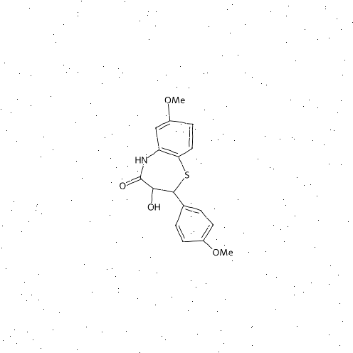 COc1ccc(C2Sc3ccc(OC)cc3NC(=O)C2O)cc1